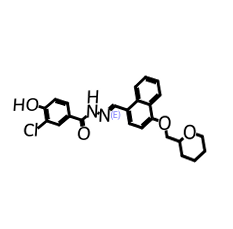 O=C(N/N=C/c1ccc(OCC2CCCCO2)c2ccccc12)c1ccc(O)c(Cl)c1